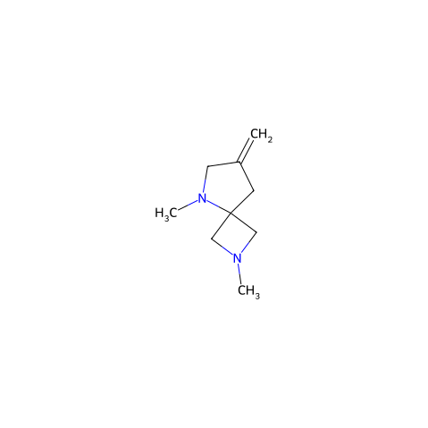 C=C1CN(C)C2(C1)CN(C)C2